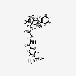 N=C(N)c1ccc(C(=O)NCCC(=O)NC[C@](NS(=O)(=O)c2ccccc2)(C(=O)O)[N+](=O)[O-])cc1